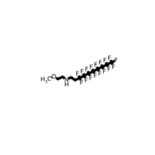 COCCNCCC(F)(F)C(F)(F)C(F)(F)C(F)(F)C(F)(F)C(F)(F)C(F)(F)C(F)(F)F